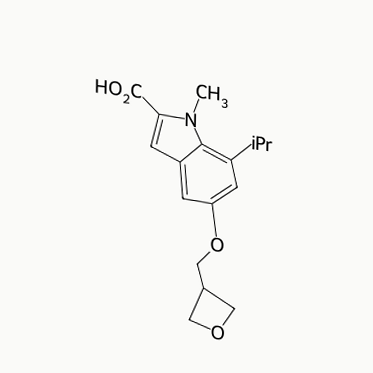 CC(C)c1cc(OCC2COC2)cc2cc(C(=O)O)n(C)c12